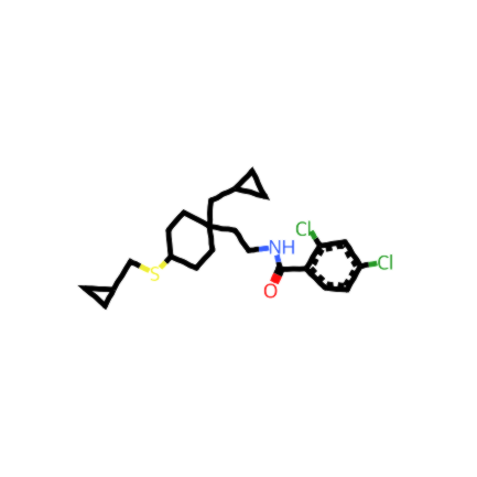 O=C(NCCC1(CC2CC2)CCC(SCC2CC2)CC1)c1ccc(Cl)cc1Cl